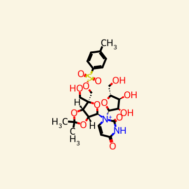 Cc1ccc(S(=O)(=O)OC[C@]2(CO)O[C@@H]([N+]3([C@@H]4O[C@H](CO)[C@@H](O)[C@H]4O)C=CC(=O)NC3=O)[C@@H]3OC(C)(C)O[C@@H]32)cc1